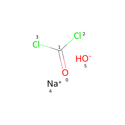 O=C(Cl)Cl.[Na+].[OH-]